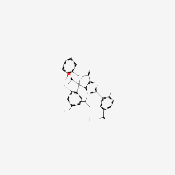 COc1ccc(C(=O)O)cc1-c1nc2c(n1C(C)C)C1(C(=O)Nc3cc(Cl)ccc31)N(c1cc(Cl)ccc1C)C2=O